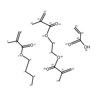 C=C(C)C(=O)OCCCC.C=C(C)C(=O)OCCOC(=O)C(=C)C.C=CC(=O)O